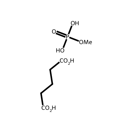 COP(=O)(O)O.O=C(O)CCCC(=O)O